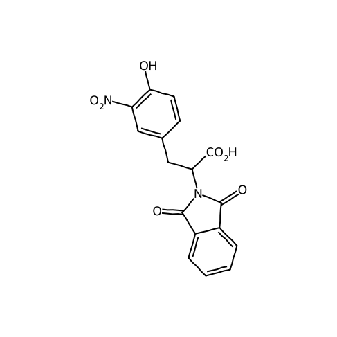 O=C(O)C(Cc1ccc(O)c([N+](=O)[O-])c1)N1C(=O)c2ccccc2C1=O